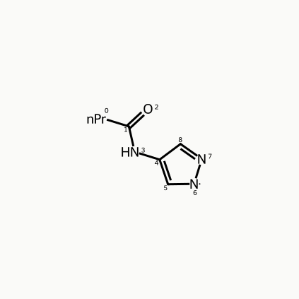 CCCC(=O)NC1=C[N]N=C1